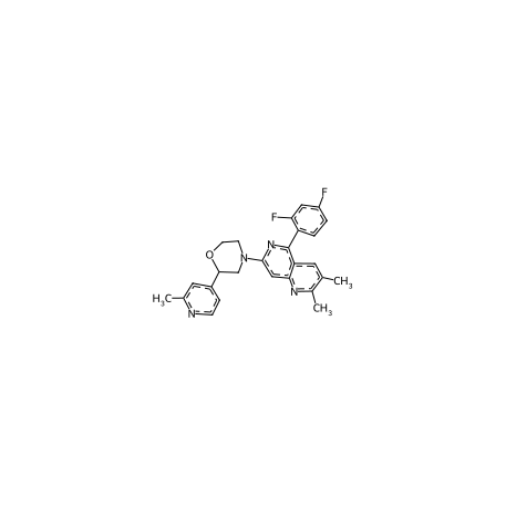 Cc1cc(C2CN(c3cc4nc(C)c(C)cc4c(-c4ccc(F)cc4F)n3)CCO2)ccn1